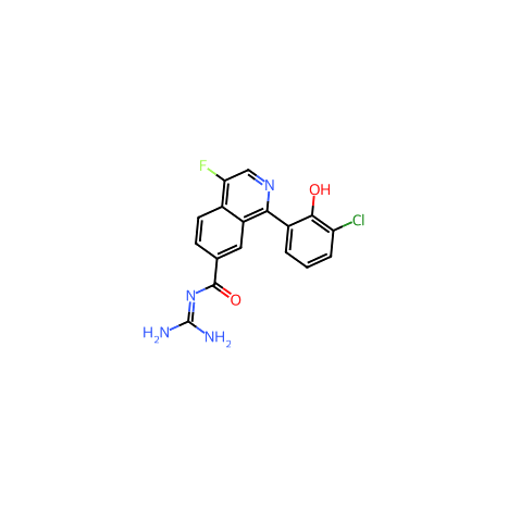 NC(N)=NC(=O)c1ccc2c(F)cnc(-c3cccc(Cl)c3O)c2c1